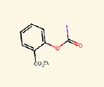 CCOC(=O)c1ccccc1OC(=O)I